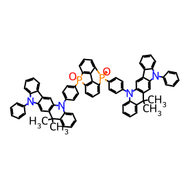 CC1(C)c2ccccc2N(c2ccc(P3(=O)c4cccc5c4-c4c3cccc4P5(=O)c3ccc(N4c5ccccc5C(C)(C)c5cc6c(cc54)c4ccccc4n6-c4ccccc4)cc3)cc2)c2cc3c4ccccc4n(-c4ccccc4)c3cc21